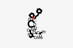 COc1ccnc(C(=O)N[C@H]2CCC[C@H](Oc3ccccc3)[C@@H](OCCCc3ccccc3)[C@H](C)OC2=O)c1OCOC(=O)C(C)C